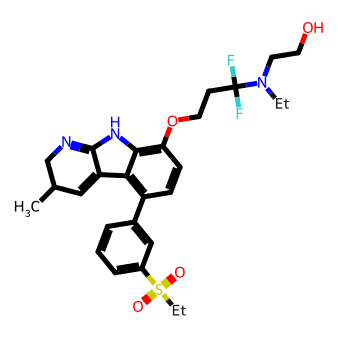 CCN(CCO)C(F)(F)CCOc1ccc(-c2cccc(S(=O)(=O)CC)c2)c2c3c([nH]c12)=NCC(C)C=3